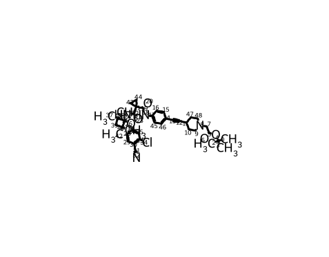 CC(C)(C)OC(=O)CN1CCC(C#Cc2ccc(NC(=O)C3(C(=O)NC4(Oc5ccc(C#N)c(Cl)c5)C(C)(C)CC4(C)C)CC3)cc2)CC1